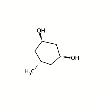 C[C@@H]1C[C@@H](O)C[C@@H](O)C1